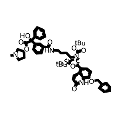 CN1CCC(OC(=O)C(O)(c2ccccc2)c2cccc(C(=O)NCCCCN(CC(O[Si](C)(C)C(C)(C)C)c3ccc(OCc4ccccc4)c4[nH]c(=O)ccc34)C(=O)OC(C)(C)C)c2)C1